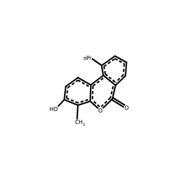 CCCc1cccc2c(=O)oc3c(C)c(O)ccc3c12